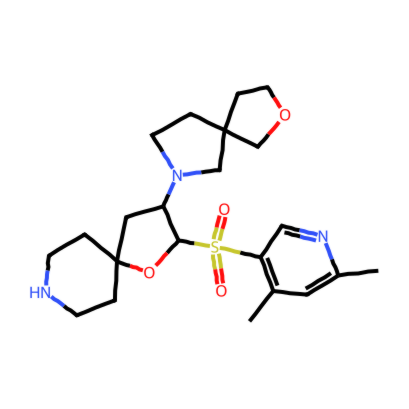 Cc1cc(C)c(S(=O)(=O)C2OC3(CCNCC3)CC2N2CCC3(CCOC3)C2)cn1